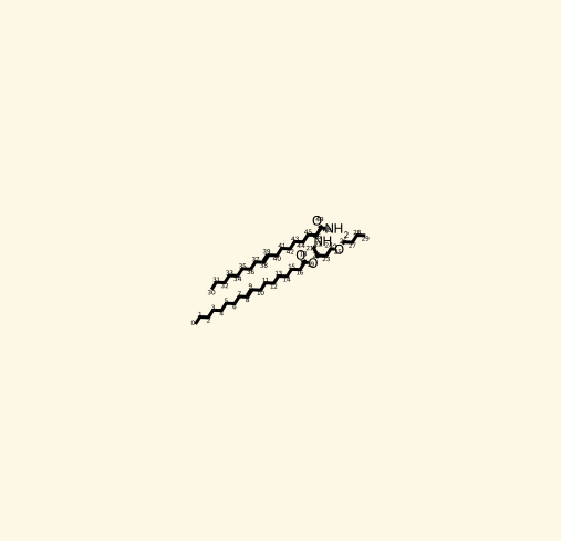 CCCCCCCCC=CCCCCCCCC(=O)OC(CN)CCOCCCC.CCCCCCCCC=CCCCCCCCC(N)=O